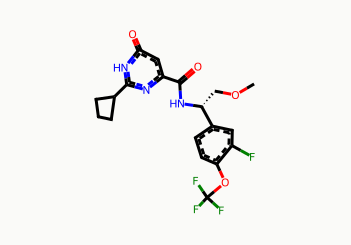 COC[C@@H](NC(=O)c1cc(=O)[nH]c(C2CCC2)n1)c1ccc(OC(F)(F)F)c(F)c1